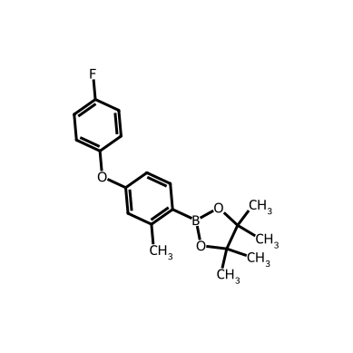 Cc1cc(Oc2ccc(F)cc2)ccc1B1OC(C)(C)C(C)(C)O1